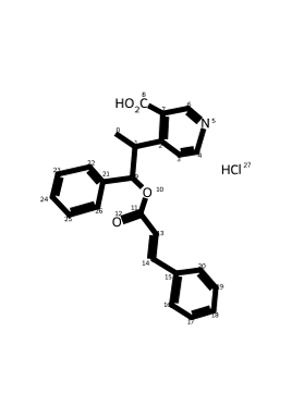 CC(c1ccncc1C(=O)O)C(OC(=O)C=Cc1ccccc1)c1ccccc1.Cl